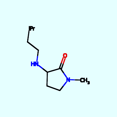 CC(C)CCNC1CCN(C)C1=O